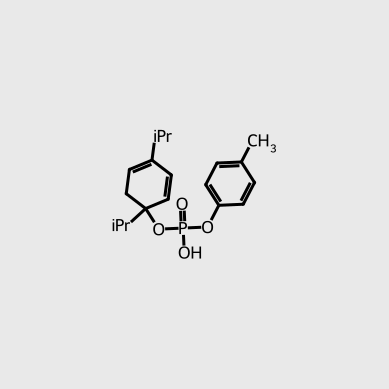 Cc1ccc(OP(=O)(O)OC2(C(C)C)C=CC(C(C)C)=CC2)cc1